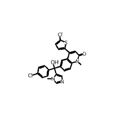 Cn1cncc1C(O)(c1ccc(Cl)cc1)c1ccc2c(c1)c(-c1ccc(Cl)s1)cc(=O)n2C